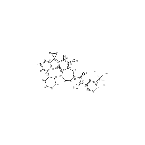 O=C([C@H](O)c1cccc(C(F)(F)F)c1)N1CCCc2nc(C3(c4cncc(C5CCCCC5)c4)CC3)[nH]c(=O)c2C1